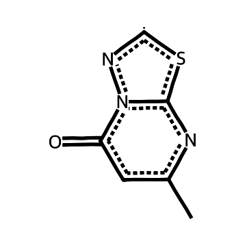 Cc1cc(=O)n2n[c]sc2n1